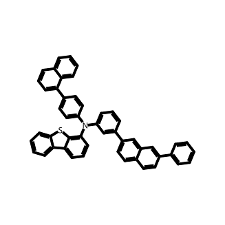 c1ccc(-c2ccc3ccc(-c4cccc(N(c5ccc(-c6cccc7ccccc67)cc5)c5cccc6c5sc5ccccc56)c4)cc3c2)cc1